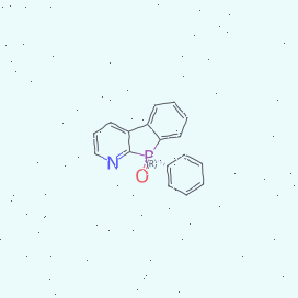 O=[P@]1(c2ccccc2)c2ccccc2-c2cccnc21